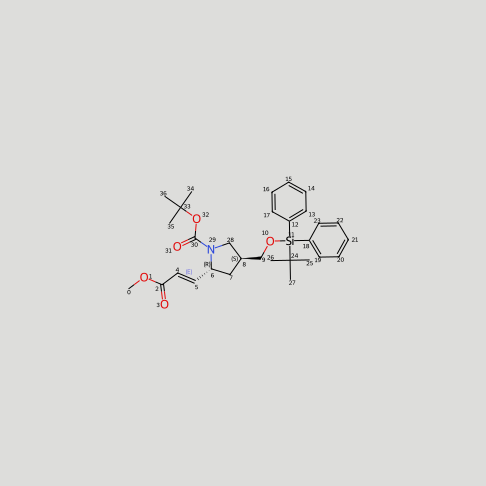 COC(=O)/C=C/[C@H]1C[C@H](CO[Si](c2ccccc2)(c2ccccc2)C(C)(C)C)CN1C(=O)OC(C)(C)C